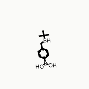 CC(C)(C)BCc1ccc(B(O)O)cc1